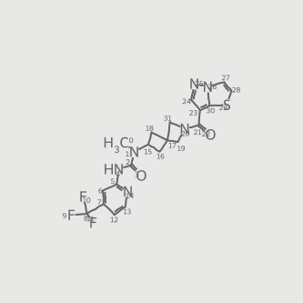 CN(C(=O)Nc1cc(C(F)(F)F)ccn1)C1CC2(C1)CN(C(=O)c1cnn3ccsc13)C2